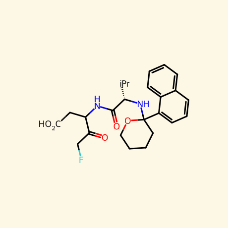 CC(C)[C@H](NC1(c2cccc3ccccc23)CCCCO1)C(=O)NC(CC(=O)O)C(=O)CF